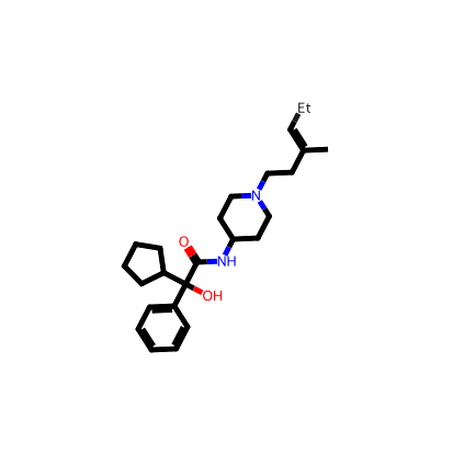 CCC=C(C)CCN1CCC(NC(=O)C(O)(c2ccccc2)C2CCCC2)CC1